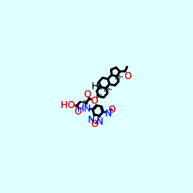 CC(=O)C1CCC2C3CC[C@@H]4C[C@H](OC(=O)[C@H](CC(=O)O)Nc5ccc(N=O)c6nonc56)CC[C@]4(C)C3CC[C@]12C